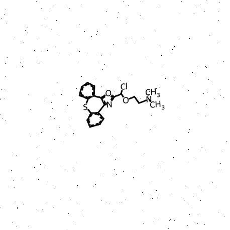 CN(C)CCOC(Cl)c1nc2c(o1)-c1ccccc1Sc1ccccc1-2